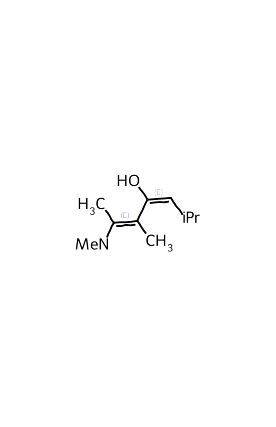 CN/C(C)=C(C)/C(O)=C\C(C)C